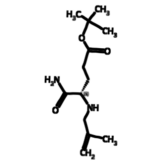 C=C(C)CN[C@@H](CCC(=O)OC(C)(C)C)C(N)=O